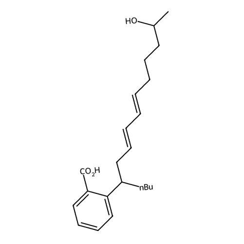 CCCCC(CC=CC=CCCCC(C)O)c1ccccc1C(=O)O